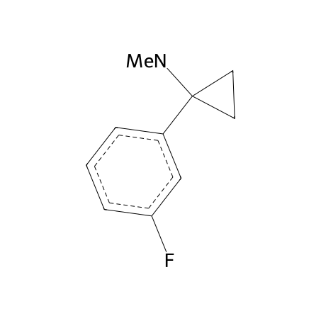 CNC1(c2cccc(F)c2)CC1